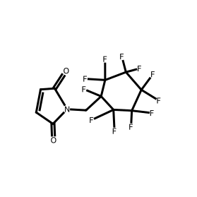 O=C1C=CC(=O)N1CC1(F)C(F)(F)C(F)(F)C(F)(F)C(F)(F)C1(F)F